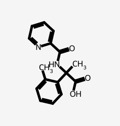 Cc1ccccc1C(C)(NC(=O)c1ccccn1)C(=O)O